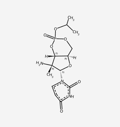 CC(C)OP1(=O)OC[C@H]2O[C@H](n3ccc(=O)[nH]c3=O)[C@](C)(N)[C@@H]2O1